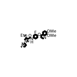 CCOc1cn(-c2ccn(C)n2)nc1C(=O)Nc1ccc(Oc2ccnc3c(OC)c(OC)ccc23)c(F)c1